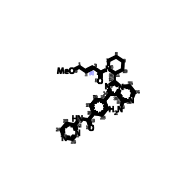 COC/C=C/C(=O)N1CCCC[C@H]1c1nc(-c2ccc(C(=O)Nc3ccncn3)cc2)c2c(N)nccn12